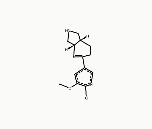 COc1cc(C2=C[C@@H]3CNC[C@@H]3CC2)cnc1Cl